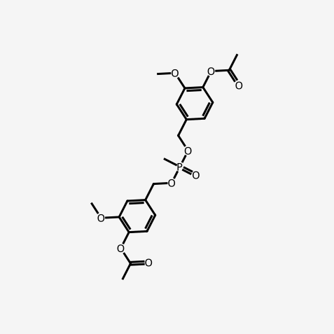 COc1cc(COP(C)(=O)OCc2ccc(OC(C)=O)c(OC)c2)ccc1OC(C)=O